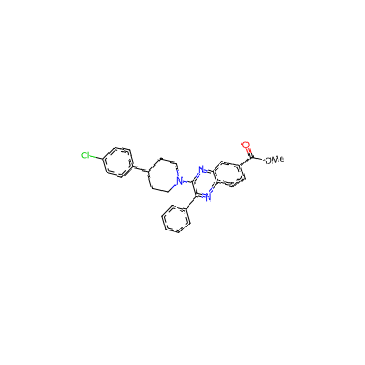 COC(=O)c1ccc2nc(-c3ccccc3)c(N3CCC(c4ccc(Cl)cc4)CC3)nc2c1